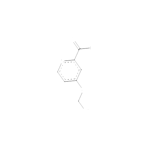 CCC(=O)c1cc(OCC(F)(F)F)ccn1